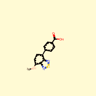 [2H]Bc1ccc(-c2ccc(C(=O)O)cc2)c2nsnc12